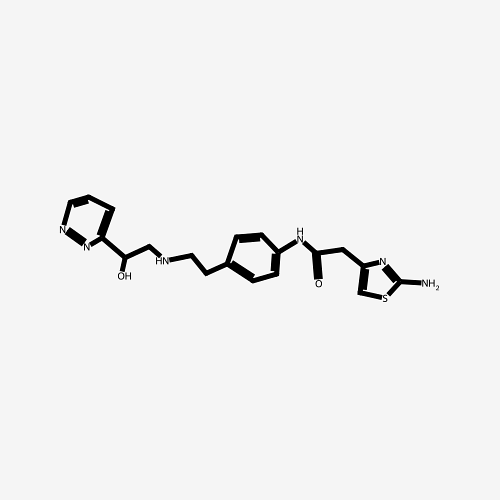 Nc1nc(CC(=O)Nc2ccc(CCNCC(O)c3cccnn3)cc2)cs1